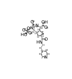 O=C(NCCc1ccncc1)c1cc2c(s1)C(C(=O)O)N1CC2N(OS(=O)(=O)O)C1=O